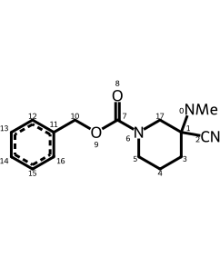 CNC1(C#N)CCCN(C(=O)OCc2ccccc2)C1